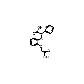 O=C(O)COc1ccccc1OC(C(=O)O)c1ccccn1